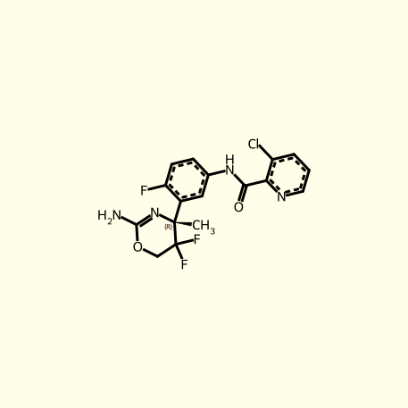 C[C@]1(c2cc(NC(=O)c3ncccc3Cl)ccc2F)N=C(N)OCC1(F)F